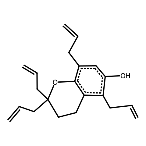 C=CCc1cc(O)c(CC=C)c2c1OC(CC=C)(CC=C)CC2